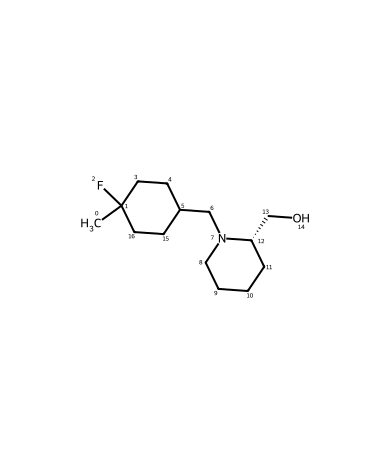 CC1(F)CCC(CN2CCCC[C@H]2CO)CC1